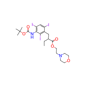 CCC(Cc1c(I)cc(I)c(NC(=O)OC(C)(C)C)c1I)C(=O)OCCN1CCOCC1